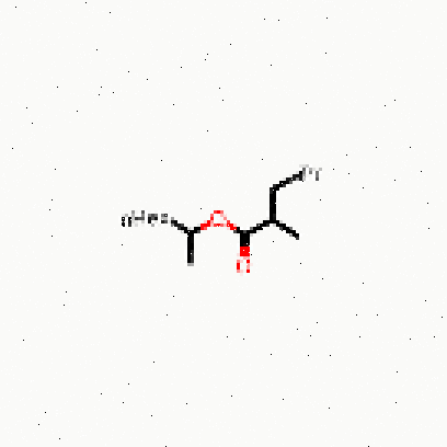 CCCCCCC(C)OC(=O)C(C)CC(C)C